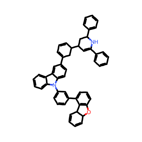 C1=CC(C2C=C(c3ccccc3)NC(c3ccccc3)C2)CC(c2ccc3c(c2)c2ccccc2n3-c2cccc(-c3cccc4c3C3C=CC=CC3O4)c2)=C1